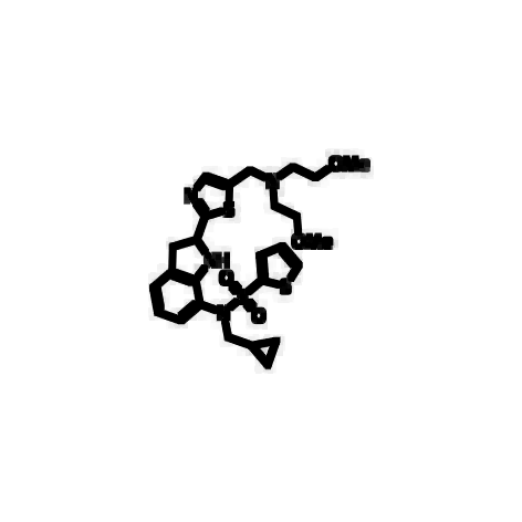 COCCN(CCOC)Cc1cnc(C2Cc3cccc(N(CC4CC4)S(=O)(=O)c4cccs4)c3N2)s1